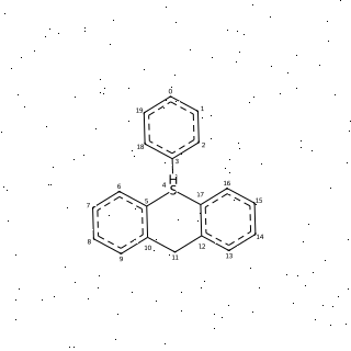 c1ccc([SH]2c3ccccc3Cc3ccccc32)cc1